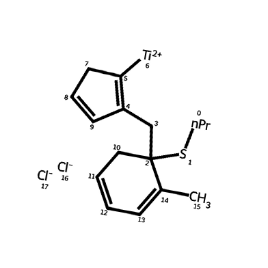 CCCSC1(CC2=[C]([Ti+2])CC=C2)CC=CC=C1C.[Cl-].[Cl-]